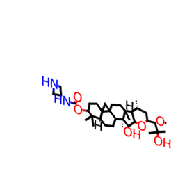 COC(C1C[C@@H](C)[C@H]2C(O1)[C@H](O)[C@@]1(C)C3CC[C@H]4C(C)(C)C(OC(=O)NC5CNC5)CCC45CC35CCC21C)C(C)(C)O